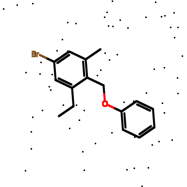 CCc1cc(Br)cc(C)c1COc1ccccc1